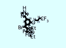 CCOP(=O)(OCC)C(F)(F)c1sc2c(OCCCC(F)(F)F)cc(-c3nc[nH]n3)cc2c1Br